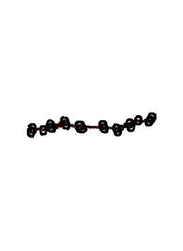 C=C(C)C(=O)OCCCCCCOc1ccc(C(=O)Oc2ccc(-c3ccc(C(=O)OCCCCCCOC(=O)CCCCCCCCCCC(=O)OCCCCCCOC(=O)c4ccc(-c5ccc(OC(=O)c6ccc(OCCCCCCOC(=O)C(=C)C)cc6)cc5)cc4)cc3)cc2)cc1